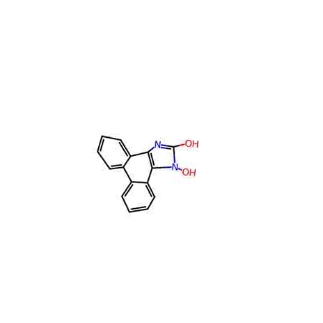 Oc1nc2c3ccccc3c3ccccc3c2n1O